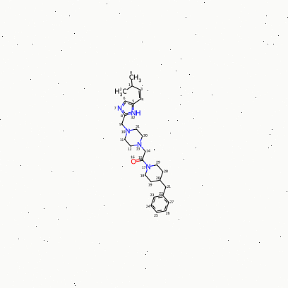 CC(C)/C=C\c1cnc(CN2CCN(CC(=O)N3CCC(Cc4ccccc4)CC3)CC2)[nH]1